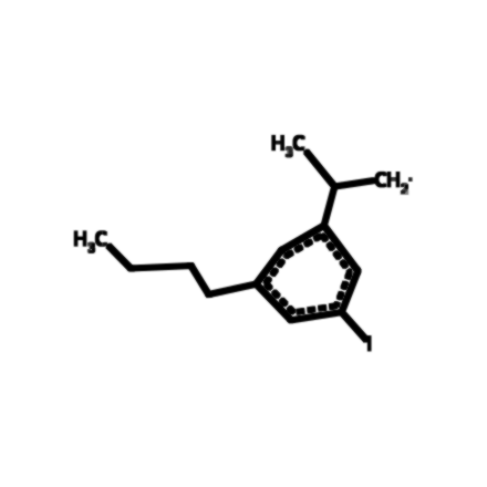 [CH2]C(C)c1cc(I)cc(CCCC)c1